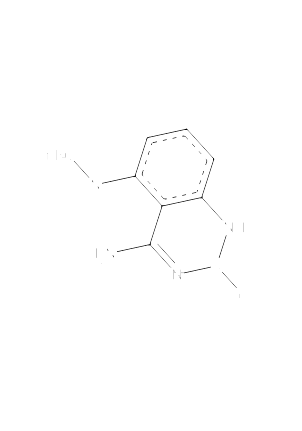 CCCCNc1cccc2c1C(N)=N[S+]([O-])N2